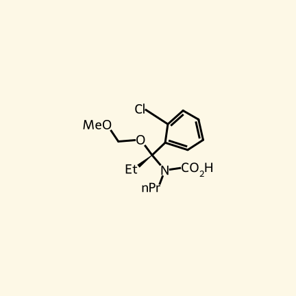 CCCN(C(=O)O)[C@](CC)(OCOC)c1ccccc1Cl